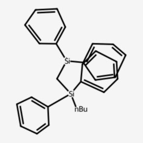 CCCC[Si](C[Si](c1ccccc1)c1ccccc1)(c1ccccc1)c1ccccc1